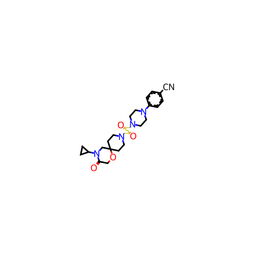 N#Cc1ccc(N2CCN(S(=O)(=O)N3CCC4(CC3)CN(C3CC3)C(=O)CO4)CC2)cc1